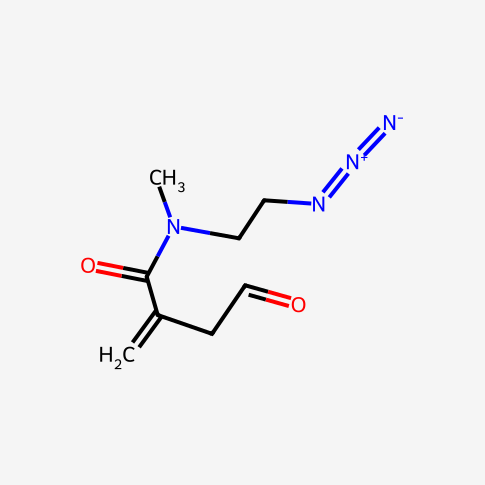 C=C(CC=O)C(=O)N(C)CCN=[N+]=[N-]